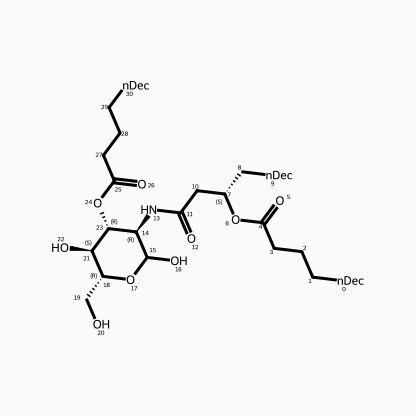 CCCCCCCCCCCCCC(=O)O[C@@H](CCCCCCCCCCC)CC(=O)N[C@H]1C(O)O[C@H](CO)[C@@H](O)[C@@H]1OC(=O)CCCCCCCCCCCCC